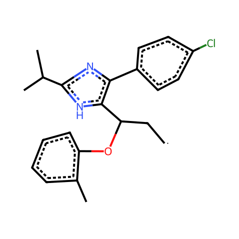 [CH2]CC(Oc1ccccc1C)c1[nH]c(C(C)C)nc1-c1ccc(Cl)cc1